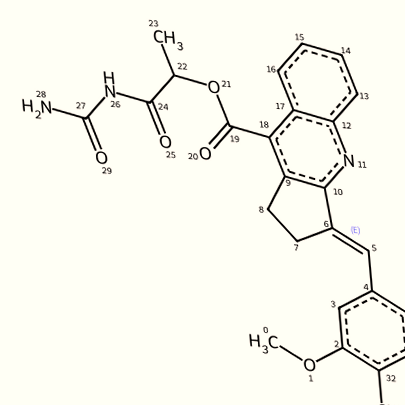 COc1cc(/C=C2\CCc3c2nc2ccccc2c3C(=O)OC(C)C(=O)NC(N)=O)ccc1C